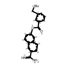 CC(C)(C)Cc1cccc(C(=O)Oc2ccc3cc(C(=N)N)ccc3c2)c1